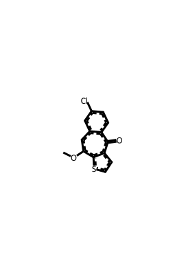 COc1cc2cc(Cl)ccc2c(=O)c2ccsc12